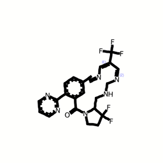 C=N/C=C(\C=N/CNCC1N(C(=O)c2cc(C)ccc2-c2ncccn2)CCC1(F)F)C(F)(F)F